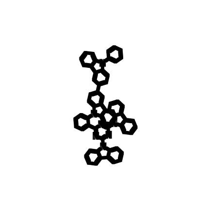 c1ccc(-n2c3ccccc3c3cc(-c4ccc5c(c4)c4ccccc4n5-c4ccccc4-c4nc(-n5c6ccccc6c6ccccc65)nc(-n5c6ccccc6c6ccccc65)n4)ccc32)cc1